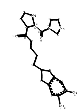 Cc1cc2c(cc1[N+](=O)[O-])CC(CCCCC(=O)C1CCN[C@H]1C(=O)N1CCSC1)C2